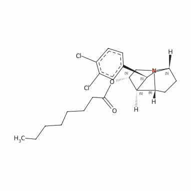 CCCCCCCC(=O)O[C@@H]1CN2[C@H]3CC[C@@H]2[C@@H]1[C@@H](c1ccc(Cl)c(Cl)c1)C3